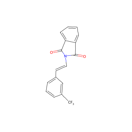 O=C1c2ccccc2C(=O)N1/C=C/c1cccc(C(F)(F)F)c1